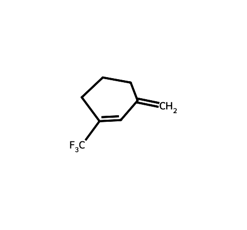 C=C1C=C(C(F)(F)F)CCC1